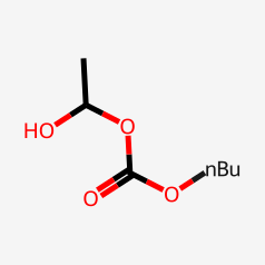 CCCCOC(=O)OC(C)O